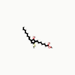 CCCCCCC=CC1C=C(SC)C(=CCCCCCC(=O)OC)C1=O